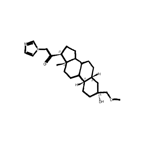 COC[C@@]1(O)CC[C@@H]2C3CC[C@@]4(C)C(CC[C@@H]4C(=O)Cn4ccnc4)C3CC[C@@H]2C1